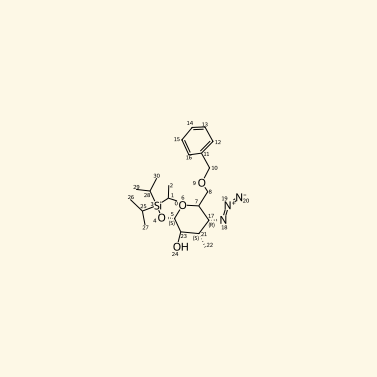 CC(C)[Si](O[C@@H]1OC(COCc2ccccc2)[C@H](N=[N+]=[N-])[C@H](C)C1O)(C(C)C)C(C)C